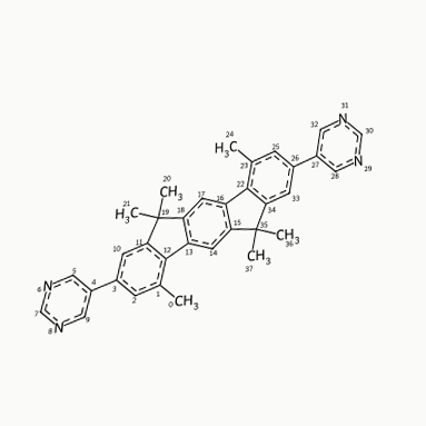 Cc1cc(-c2cncnc2)cc2c1-c1cc3c(cc1C2(C)C)-c1c(C)cc(-c2cncnc2)cc1C3(C)C